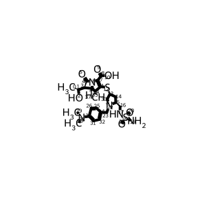 C[C@@H](O)[C@H]1C(=O)N2C(C(=O)O)=C(S[C@H]3C[C@@H](CNS(N)(=O)=O)N(Cc4ccc(N(C)C)cc4)C3)[C@H](C)[C@H]12